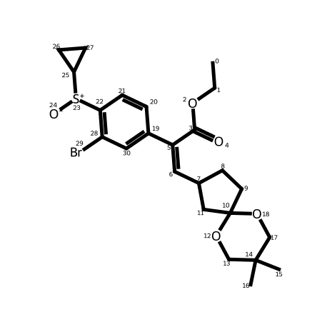 CCOC(=O)/C(=C\C1CCC2(C1)OCC(C)(C)CO2)c1ccc([S+]([O-])C2CC2)c(Br)c1